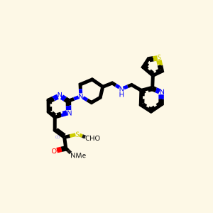 CNC(=O)/C(=C/c1ccnc(N2CCC(CNCc3cccnc3-c3ccsc3)CC2)n1)SC=O